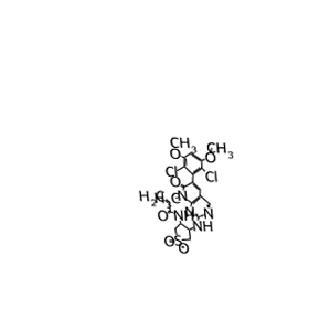 C=CC(=O)NC1CS(=O)(=O)CC1Nc1ncc2cc(-c3c(Cl)c(OC)cc(OC)c3Cl)c(=O)n(C)c2n1